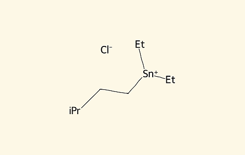 C[CH2][Sn+]([CH2]C)[CH2]CC(C)C.[Cl-]